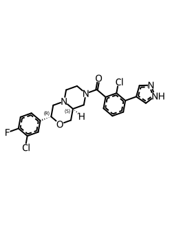 O=C(c1cccc(-c2cn[nH]c2)c1Cl)N1CCN2C[C@@H](c3ccc(F)c(Cl)c3)OC[C@@H]2C1